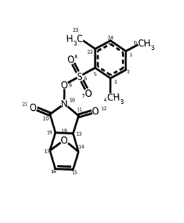 Cc1cc(C)c(S(=O)(=O)ON2C(=O)C3C4C=CC(O4)C3C2=O)c(C)c1